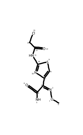 CON=C(C([NH])=O)c1csc(NC(=O)CCl)n1